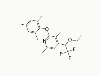 CCOC(c1cc(C)nc(Oc2c(C)cc(C)cc2C)c1C)C(F)(F)F